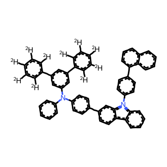 [2H]c1c([2H])c([2H])c(-c2cc(-c3c([2H])c([2H])c([2H])c([2H])c3[2H])cc(N(c3ccccc3)c3ccc(-c4ccc5c6ccccc6n(-c6ccc(-c7cccc8ccccc78)cc6)c5c4)cc3)c2)c([2H])c1[2H]